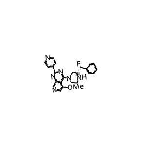 COc1cncc2nc(-c3ccncc3)nc(N3CCN[C@@H](C(F)c4ccccc4)C3)c12